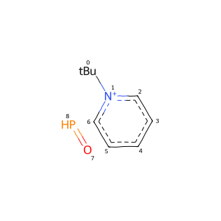 CC(C)(C)[n+]1ccccc1.O=P